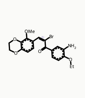 CCOc1ccc(C(=O)/C(Br)=C\c2ccc3c(c2OC)OCCO3)cc1N